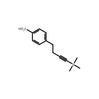 C[Si](C)(C)C#CCCc1ccc(C(=O)O)cc1